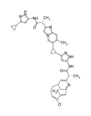 CC1=C\C2=NC([C@@H](C)C(=O)Nc3cc(C4CC4c4cn5cc([C@@H](C)C(=O)Nc6cc(C7CC7)n[nH]6)nc5cc4C)n[nH]3)=CC(CC/C=C\1Cl)C2